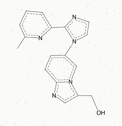 Cc1cccc(-c2nccn2-c2ccc3ncc(CO)n3c2)n1